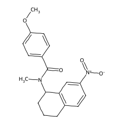 COc1ccc(C(=O)N(C)C2CCCc3ccc([N+](=O)[O-])cc32)cc1